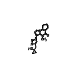 Cn1c(=O)c2ccccc2n2cnc(-n3cc(CC4(O)CC4)nn3)c12